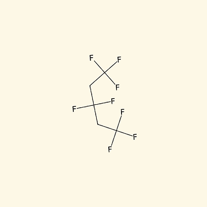 FC(F)(F)CC(F)(F)CC(F)(F)F